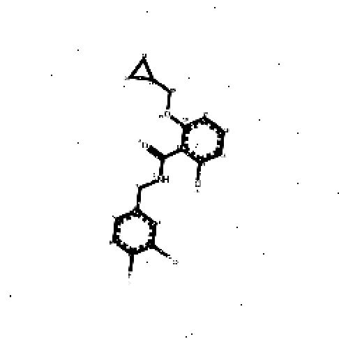 O=C(NCc1ccc(F)c(F)c1)c1c(Cl)cccc1OCC1CC1